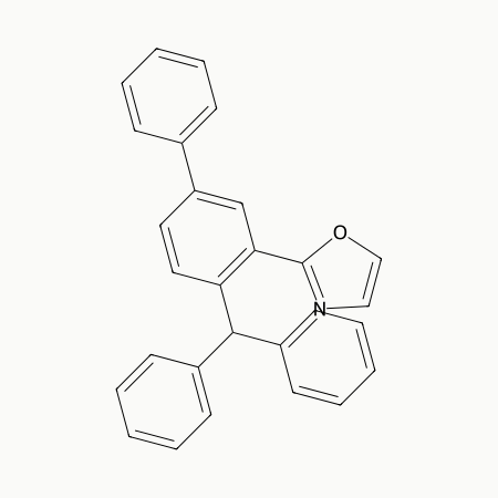 c1ccc(-c2ccc(C(c3ccccc3)c3ccccc3)c(-c3ncco3)c2)cc1